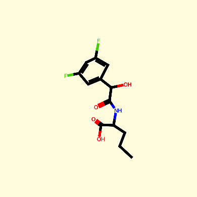 CCCC(NC(=O)C(O)c1cc(F)cc(F)c1)C(=O)O